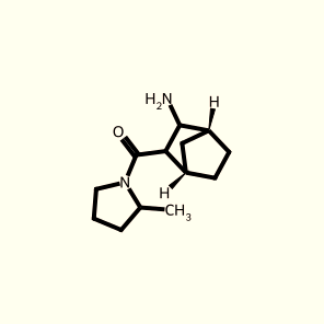 CC1CCCN1C(=O)C1C(N)[C@@H]2CC[C@H]1C2